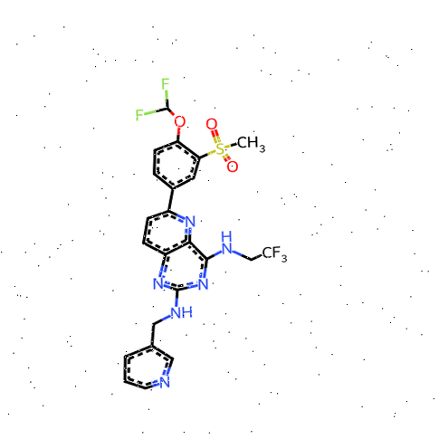 CS(=O)(=O)c1cc(-c2ccc3nc(NCc4cccnc4)nc(NCC(F)(F)F)c3n2)ccc1OC(F)F